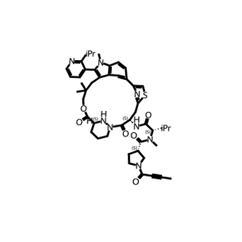 CC#CC(=O)N1CC[C@H](C(=O)N(C)[C@H](C(=O)N[C@H]2Cc3nc(cs3)-c3ccc4c(c3)c(c(-c3cccnc3C(C)C)n4C)CC(C)(C)COC(=O)[C@@H]3CCCN(N3)C2=O)C(C)C)C1